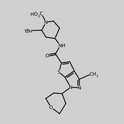 Cc1nn(C2CCOCC2)c2sc(C(=O)NC3CCN(C(=O)O)C(C(C)(C)C)C3)cc12